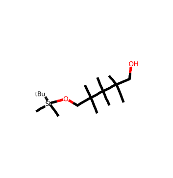 CC(C)(CO)C(C)(C)C(C)(C)CO[Si](C)(C)C(C)(C)C